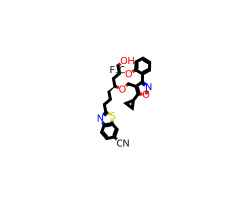 N#Cc1ccc2nc(CCC[C@@H](CCCO)OCc3c(-c4ccccc4OC(F)(F)F)noc3C3CC3)sc2c1